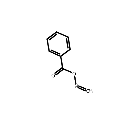 [CH]=NOC(=O)c1ccccc1